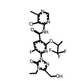 CCn1c(CO)nn(-c2nc(OC(C)C(F)(F)F)c(C(=O)Nc3ncnc(C)c3Cl)cc2F)c1=O